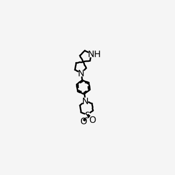 O=S1(=O)CCN(c2ccc(N3CCC4(CCNC4)C3)cc2)CC1